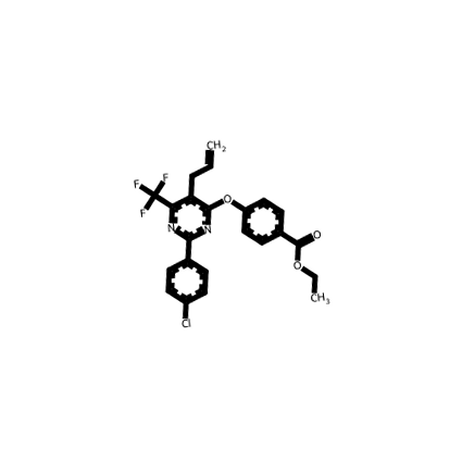 C=CCc1c(Oc2ccc(C(=O)OCC)cc2)nc(-c2ccc(Cl)cc2)nc1C(F)(F)F